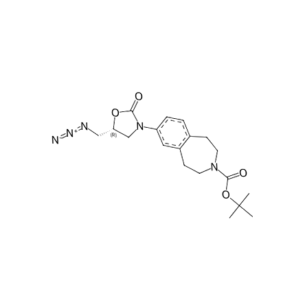 CC(C)(C)OC(=O)N1CCc2ccc(N3C[C@H](CN=[N+]=[N-])OC3=O)cc2CC1